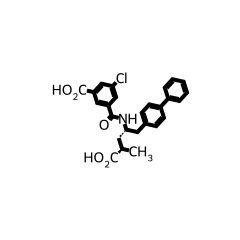 C[C@H](C[C@@H](Cc1ccc(-c2ccccc2)cc1)NC(=O)c1cc(Cl)cc(C(=O)O)c1)C(=O)O